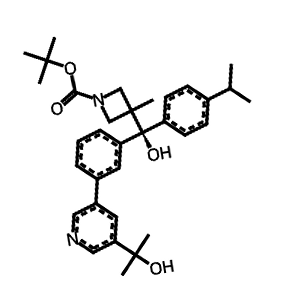 CC(C)c1ccc([C@](O)(c2cccc(-c3cncc(C(C)(C)O)c3)c2)C2(C)CN(C(=O)OC(C)(C)C)C2)cc1